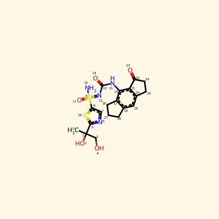 CC(O)(CO)c1ncc(S(N)(=O)=NC(=O)Nc2c3c(cc4c2C(=O)CC4)CCC3)s1